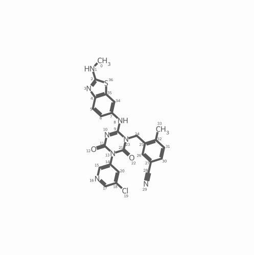 CNc1nc2ccc(Nc3nc(=O)n(-c4cncc(Cl)c4)c(=O)n3Cc3cc(C#N)ccc3C)cc2s1